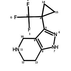 FC(F)(F)C1(c2n[nH]c3c2CNCC3)CC1